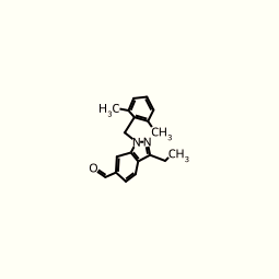 CCc1nn(Cc2c(C)cccc2C)c2cc(C=O)ccc12